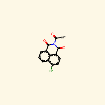 CCCC(=O)N1C(=O)c2cccc3c(Br)ccc(c23)C1=O